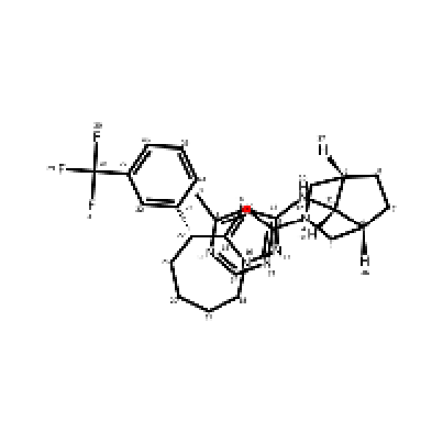 Cc1cc(N2C[C@H]3CC[C@@H](C2)[C@H]3Nc2nc3n(n2)CCCC[C@@H]3c2cccc(C(F)(F)F)c2)ncn1